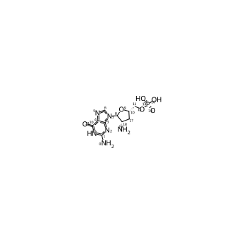 Nc1nc2c(ncn2C2O[C@H](COP(=O)(O)O)C[C@@H]2N)c(=O)[nH]1